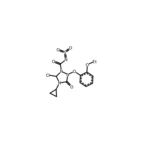 CCOc1ccccc1ON1C(=O)N(C2CC2)C(Cl)N1C(=O)N=S(=O)=O